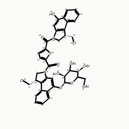 CC(=O)OCC1O[C@@H](Oc2cc3c(c4ccccc24)[C@H](CCl)CN3C(=O)c2ccc(C(=O)N3C[C@@H](CCl)c4c3cc(O)c3ccccc43)s2)[C@@H](OC(C)=O)C(OC(C)=O)[C@H]1OC(C)=O